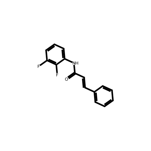 O=C(/C=C/c1ccccc1)Nc1cccc(F)c1F